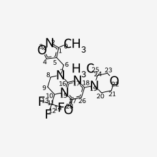 Cc1nocc1CN1CCC(C(F)(F)F)n2c1nc(N1CCOC[C@H]1C)cc2=O